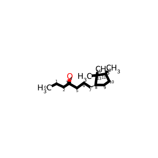 CCCC(=O)CCC[C@H]1CCC(C)C1(C)C